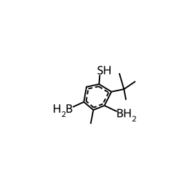 Bc1cc(S)c(C(C)(C)C)c(B)c1C